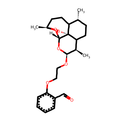 C[C@@H]1CCC2[C@@H](C)[C@@H](OCCOc3ccccc3C=O)O[C@@H]3O[C@@]4(C)CCC1[C@@]23OO4